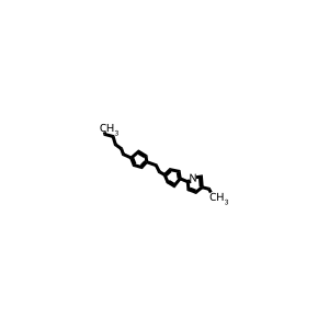 CCCCCCc1ccc(CCc2ccc(-c3ccc(CC)cn3)cc2)cc1